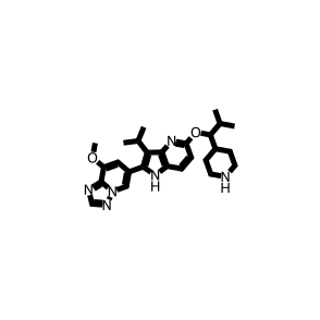 COc1cc(-c2[nH]c3ccc(OC(C(C)C)C4CCNCC4)nc3c2C(C)C)cn2ncnc12